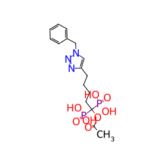 CC(=O)OC(CCCCc1cn(Cc2ccccc2)nn1)(P(=O)(O)O)P(=O)(O)O